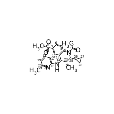 CC(=O)N1c2ccc(S(C)(=O)=O)cc2C(Nc2cccc(C)n2)[C@@H](C)[C@@H]1C1CC1